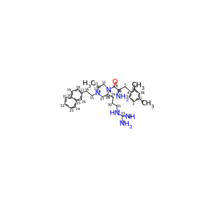 Cc1ccc(C[C@@H](N)C(=O)N2C[C@@H](C)N(CCc3ccc4ccccc4c3)C[C@@H]2CCCNC(=N)N)c(C)c1